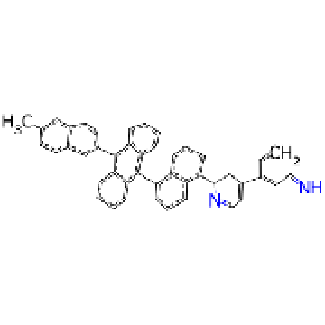 C=C/C(=C\C=N)C1=CC=NC(c2cccc3c(-c4c5ccccc5c(-c5ccc6cc(C)ccc6c5)c5ccccc45)cccc23)C1